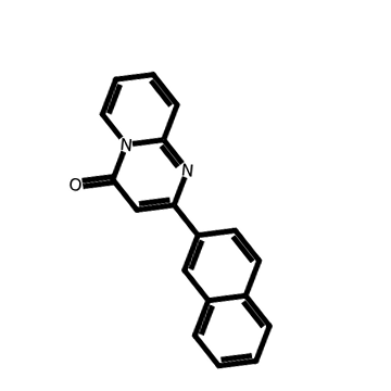 O=c1cc(-c2ccc3ccccc3c2)nc2ccccn12